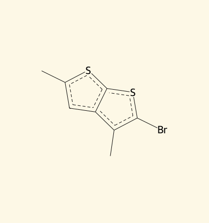 Cc1cc2c(C)c(Br)sc2s1